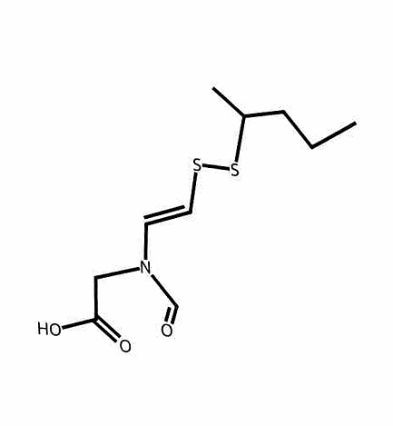 CCCC(C)SSC=CN(C=O)CC(=O)O